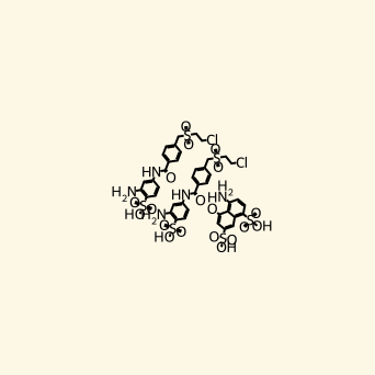 Nc1cc(NC(=O)c2ccc(CS(=O)(=O)CCCl)cc2)ccc1S(=O)(=O)O.Nc1cc(NC(=O)c2ccc(CS(=O)(=O)CCCl)cc2)ccc1S(=O)(=O)O.Nc1ccc(S(=O)(=O)O)c2cc(S(=O)(=O)O)cc(O)c12